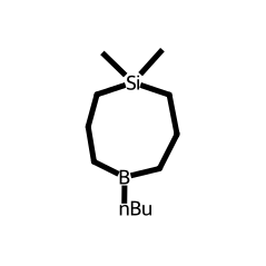 CCCCB1CCC[Si](C)(C)CCC1